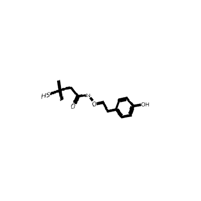 CC(C)(S)CC(=O)[N]OCCc1ccc(O)cc1